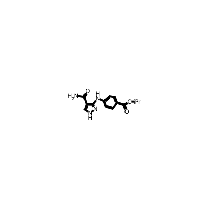 CC(C)OC(=O)c1ccc(Nc2n[nH]cc2C(N)=O)cc1